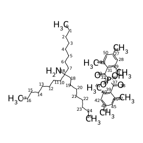 CCCCCCCCC(N)(CCCCCCCC)CCCCCCCC.Cc1cc(C)c(C(=O)P(=O)(O)C(=O)c2c(C)cc(C)cc2C)c(C)c1